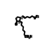 CCSCCCC=C[C@H]1CCC(=O)[C@@H]1CCCCCCC(=O)O